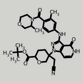 Cc1cc(Nc2nn(C3(CC#N)CCC(C(=O)OC(C)(C)C)OC3)c3cc[nH]c(=O)c23)ccc1C(=O)N1CCOCC1C